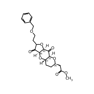 COC(=O)C[C@H]1CC[C@@H]2O[C@H]3C(=O)C(CCOCc4ccccc4)O[C@H]3C(=O)[C@H]2O1